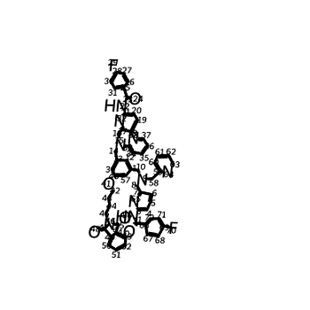 O=C(Nc1cccc(CN(Cc2cc(CN(Cc3cccc(NC(=O)c4ccc(F)cc4)n3)c3ccccn3)cc(OCCCCN3C(=O)c4ccccc4C3=O)c2)Cc2ccccn2)n1)c1ccc(F)cc1